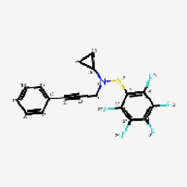 Fc1c(F)c(F)c(SN(CC#Cc2ccccc2)C2CC2)c(F)c1F